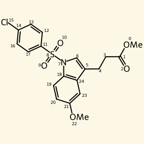 COC(=O)CCc1cn(S(=O)(=O)c2ccc(Cl)cc2)c2ccc(OC)cc12